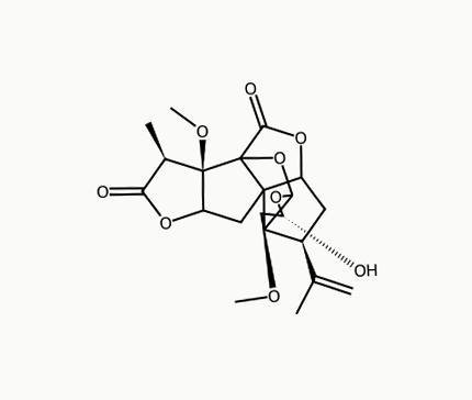 C=C(C)[C@@H]1CC2OC(=O)C34OC5O[C@H](O)[C@H](OC)C51C23CC1OC(=O)[C@@H](C)[C@@]14OC